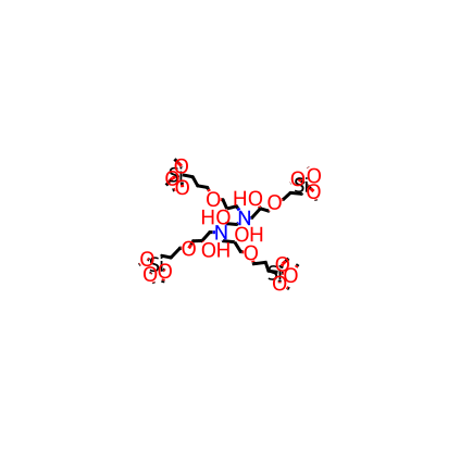 CO[Si](CCCOCC(O)CN(CCN(CC(O)COCCC[Si](OC)(OC)OC)CC(O)COCCC[Si](OC)(OC)OC)CC(O)COCCC[Si](OC)(OC)OC)(OC)OC